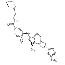 Cc1ncc(C(=O)NCCN2CCCC2)cc1Nc1nn(C)c2c1cnn1cc(-c3cnn(C)c3)cc21